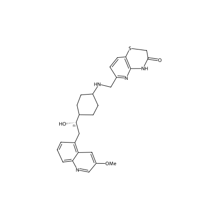 COc1cnc2cccc(C[C@H](O)C3CCC(NCc4ccc5c(n4)NC(=O)CS5)CC3)c2c1